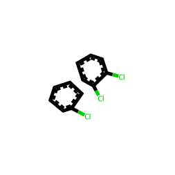 Clc1ccccc1.Clc1ccccc1Cl